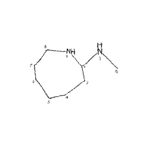 CNC1CCCCCCN1